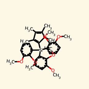 COc1cccc([Si](C2=C(C)C(C)=C(C)C2C)(c2cccc(OC)c2OC)c2cccc(OC)c2OC)c1OC